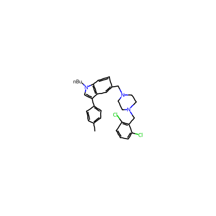 CCCCn1cc(-c2ccc(C)cc2)c2cc(CN3CCN(Cc4c(Cl)cccc4Cl)CC3)ccc21